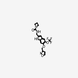 O=C(NCc1cc2cc(OC(F)(F)F)c(OCc3ccon3)cc2[nH]1)N1CCC1